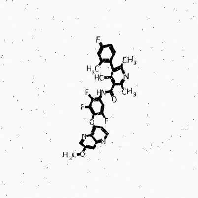 COc1cnc2c(Oc3c(F)cc(NC(=O)c4c(C)nc(C)c(-c5ccc(F)cc5C)c4O)c(F)c3F)ccnc2c1